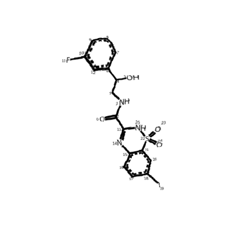 O=C(NCC(O)c1cccc(F)c1)C1=Nc2ccc(I)cc2S(=O)(=O)N1